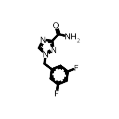 NC(=O)c1ncn(Cc2cc(F)cc(F)c2)n1